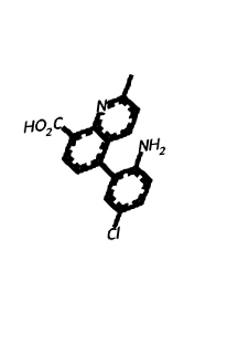 Cc1ccc2c(-c3cc(Cl)ccc3N)ccc(C(=O)O)c2n1